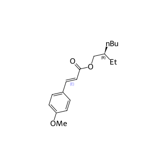 CCCC[C@@H](CC)COC(=O)/C=C/c1ccc(OC)cc1